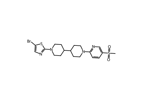 CS(=O)(=O)c1ccc(N2CCC(C3CCN(c4ncc(Br)s4)CC3)CC2)nc1